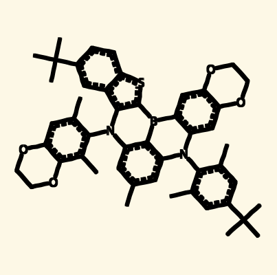 Cc1cc2c3c(c1)N(c1c(C)cc4c(c1C)OCCO4)c1c(sc4ccc(C(C)(C)C)cc14)B3c1cc3c(cc1N2c1c(C)cc(C(C)(C)C)cc1C)OCCO3